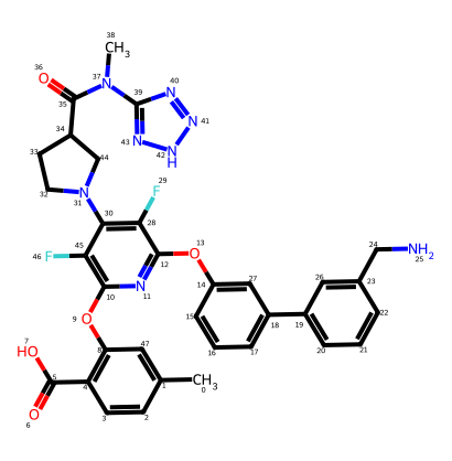 Cc1ccc(C(=O)O)c(Oc2nc(Oc3cccc(-c4cccc(CN)c4)c3)c(F)c(N3CCC(C(=O)N(C)c4nn[nH]n4)C3)c2F)c1